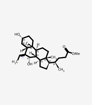 C/C=C1\[C@@H](O)[C@@H]2[C@H](CC[C@]3(C)[C@@H]([C@H](C)CCC(=O)OC)CC[C@@H]23)[C@@]2(C)CC[C@@H](O)C[C@@H]12